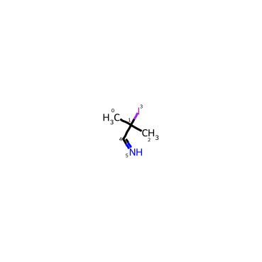 CC(C)(I)C=N